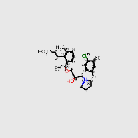 CCc1cc(C[C@@H]2CCCN2CC(O)CO[C@H](CC)c2cccc(C)c2CCC(=O)O)ccc1Cl